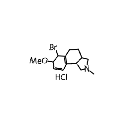 COC1C=CC2=C(CCC3CN(C)CC23)C1Br.Cl